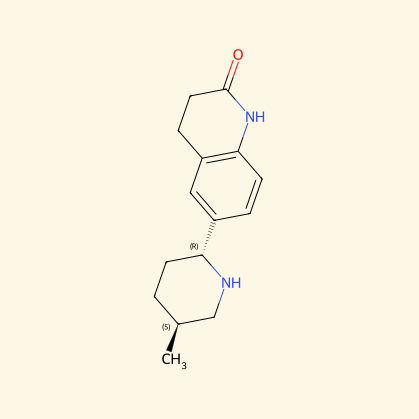 C[C@H]1CC[C@H](c2ccc3c(c2)CCC(=O)N3)NC1